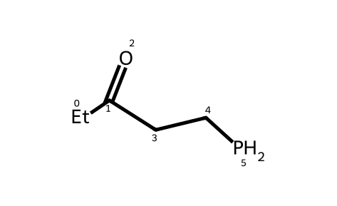 CCC(=O)CCP